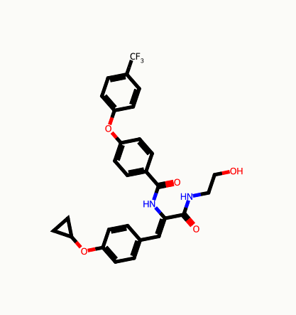 O=C(NCCO)/C(=C/c1ccc(OC2CC2)cc1)NC(=O)c1ccc(Oc2ccc(C(F)(F)F)cc2)cc1